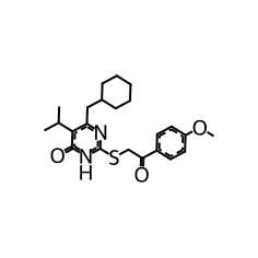 COc1ccc(C(=O)CSc2nc(CC3CCCCC3)c(C(C)C)c(=O)[nH]2)cc1